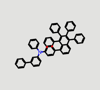 c1ccc(-c2cccc(N(c3ccccc3)c3ccc(-c4cccc5c(-c6ccccc6)c(-c6ccccc6)c(-c6ccccc6)c(-c6ccccc6)c45)cc3)c2)cc1